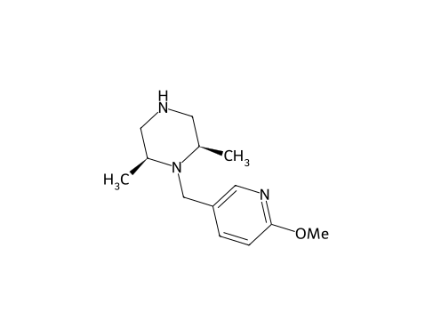 COc1ccc(CN2[C@H](C)CNC[C@@H]2C)cn1